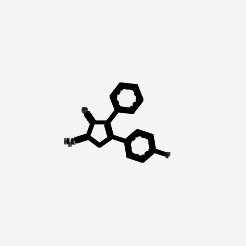 C=C1CC(c2ccc(F)cc2)=C(c2ccccc2)C1=O